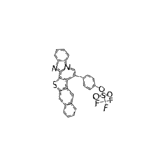 O=S(=O)(Oc1ccc(-c2cn3c4ccccc4nc3c3sc4cc5ccccc5cc4c23)cc1)C(F)(F)F